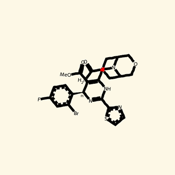 COC(=O)C1=C(CN2C3COCC2CN(C(N)=O)C3)NC(c2nccs2)=N[C@H]1c1ccc(F)cc1Br